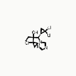 CCC(O)(C([C@H]1CC1(Cl)Cl)n1cncn1)C1(Cl)CC1